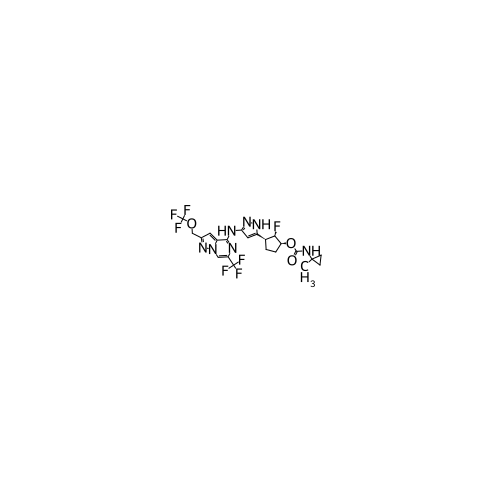 CC1(NC(=O)O[C@H]2CC[C@@H](c3cc(Nc4nc(C(F)(F)F)cn5nc(COC(F)(F)F)cc45)n[nH]3)[C@H]2F)CC1